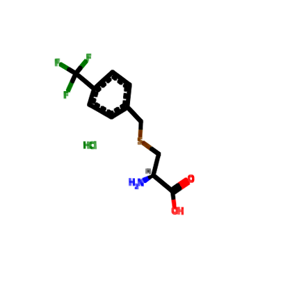 Cl.N[C@@H](CSCc1ccc(C(F)(F)F)cc1)C(=O)O